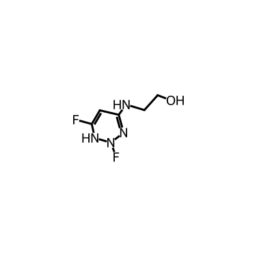 OCCNC1=NN(F)NC(F)=C1